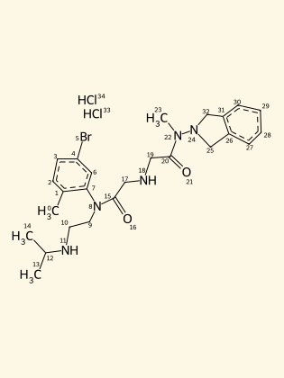 Cc1ccc(Br)cc1N(CCNC(C)C)C(=O)CNCC(=O)N(C)N1Cc2ccccc2C1.Cl.Cl